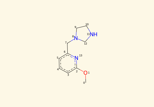 COc1cccc(CN2CCNC2)n1